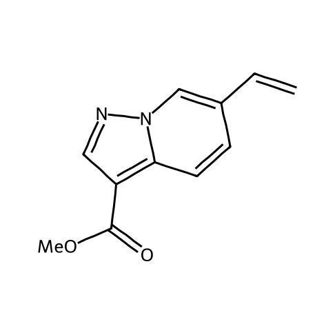 C=Cc1ccc2c(C(=O)OC)cnn2c1